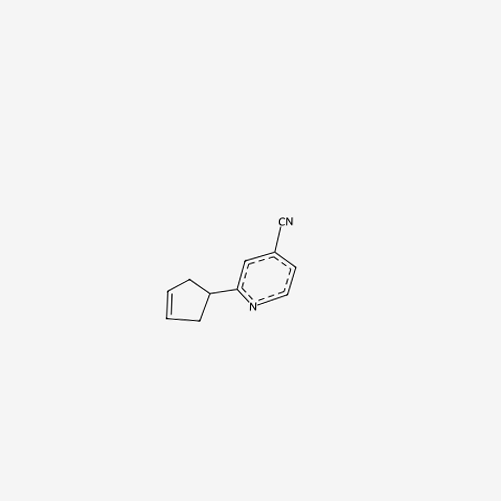 N#Cc1ccnc(C2CC=CC2)c1